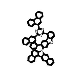 c1ccc(-c2cc3c(cc2-n2c4cc5ccccc5cc4c4c5ccccc5ccc42)oc2cccc(-c4nc(-c5ccc6ccccc6c5)nc(-c5cc6ccccc6c6ccccc56)n4)c23)cc1